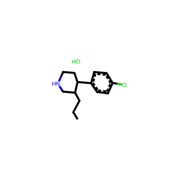 CCCC1CNCCC1c1ccc(Cl)cc1.Cl